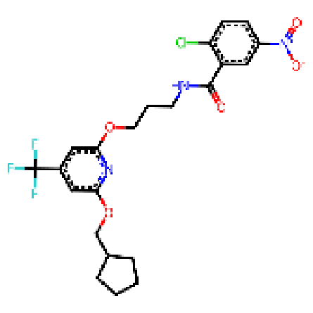 O=C(NCCCOc1cc(C(F)(F)F)cc(OCC2CCCC2)n1)c1cc([N+](=O)[O-])ccc1Cl